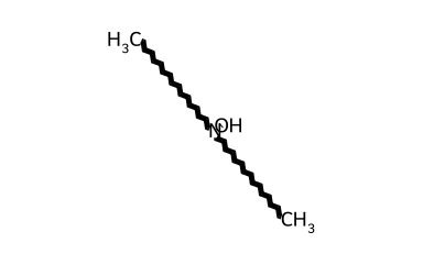 CCCCCCCCCCCCCCCCCN(O)CCCCCCCCCCCCCCCC